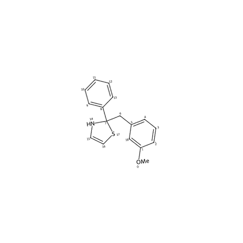 COc1[c]ccc(CC2(c3ccccc3)NC=CS2)c1